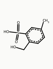 Cc1ccc(CO)c(S(=O)(=O)O)c1